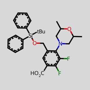 CC1CN(c2c(CO[Si](c3ccccc3)(c3ccccc3)C(C)(C)C)cc(C(=O)O)c(F)c2F)CC(C)O1